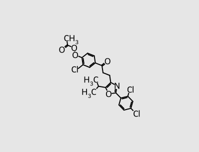 CC(=O)OOc1ccc(C(=O)CCc2nc(-c3ccc(Cl)cc3Cl)oc2C(C)C)cc1Cl